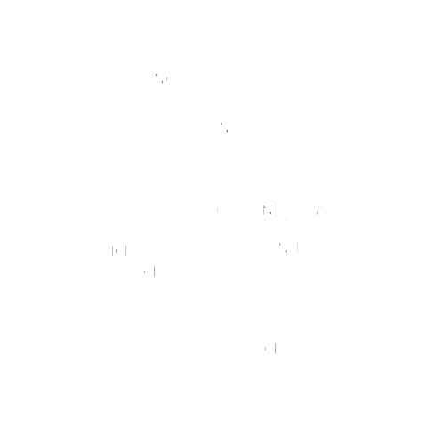 Cl.N#CC1(c2ccccc2)CCN(CCCN2C(=O)NC(c3ccc(Cl)cc3)(c3ccc(Cl)cc3)C2=O)CC1